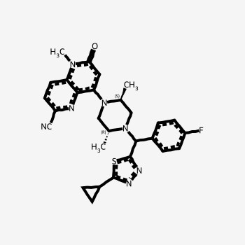 C[C@@H]1CN(c2cc(=O)n(C)c3ccc(C#N)nc23)[C@@H](C)CN1C(c1ccc(F)cc1)c1nnc(C2CC2)s1